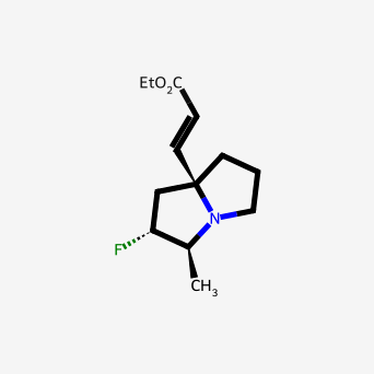 CCOC(=O)/C=C/[C@@]12CCCN1[C@@H](C)[C@H](F)C2